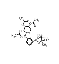 CC(=O)O[C@@H]1[C@@H](OC(C)=O)[C@H](OC(C)=O)CS[C@H]1Oc1cncc(B2OC(C)(C)C(C)(C)O2)c1